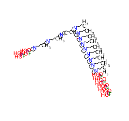 CCCCN1CCCC1.CCCCN1CCCC1.CCCCN1CCCC1.CCCCN1CCCC1.CCCCN1CCCC1.CCCCN1CCCC1.CCCCN1CCCC1.CCCCN1CCCC1.CCCCN1CCCC1.CCCCN1CCCC1.CCCCN1CCCC1.CCCCN1CCCC1.O=P(O)(O)F.O=P(O)(O)F.O=P(O)(O)F.O=P(O)(O)F.O=P(O)(O)F.O=P(O)(O)F